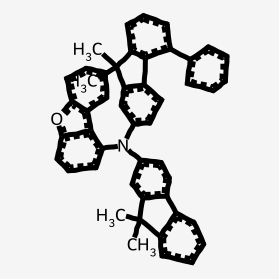 CC1(C)c2ccccc2-c2ccc(N(c3ccc4c(c3)C(C)(C)c3cccc(-c5ccccc5)c3-4)c3cccc4oc5ccccc5c34)cc21